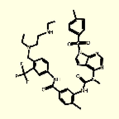 CCNCCN(CC)Cc1ccc(NC(=O)c2ccc(C)c(NC(=O)N(C)c3ncnc4c3ccn4S(=O)(=O)c3ccc(C)cc3)c2)cc1C(F)(F)F